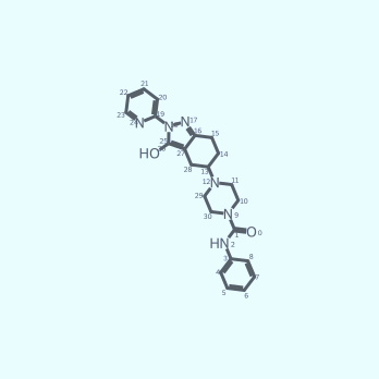 O=C(Nc1ccccc1)N1CCN(C2CCc3nn(-c4ccccn4)c(O)c3C2)CC1